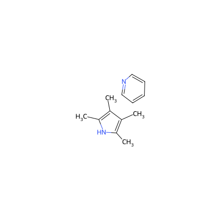 Cc1[nH]c(C)c(C)c1C.c1ccncc1